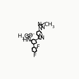 CCc1ncn(-c2ccc3c(-c4cc(N[S+](C)[O-])cc(-c5ccc(F)cc5F)c4)cnn3c2)n1